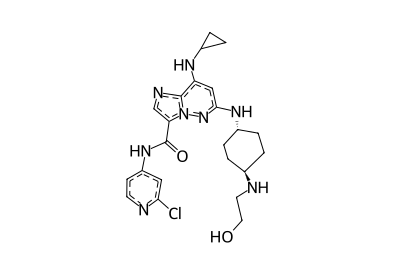 O=C(Nc1ccnc(Cl)c1)c1cnc2c(NC3CC3)cc(N[C@H]3CC[C@H](NCCO)CC3)nn12